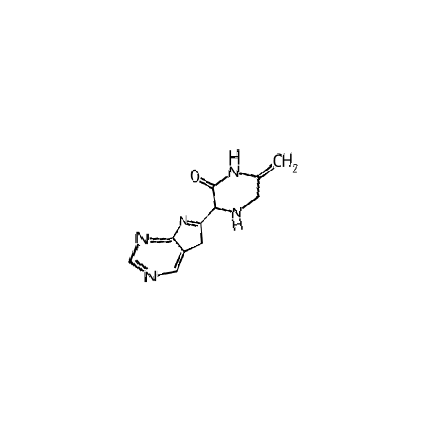 C=C1CNC(C2=Nc3ncncc3C2)C(=O)N1